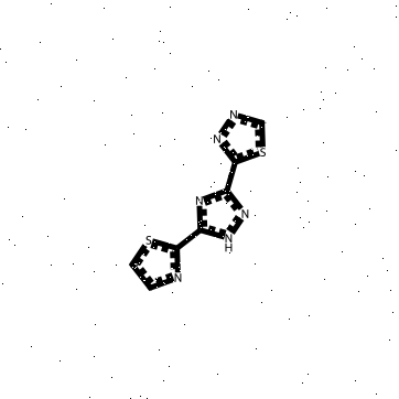 [c]1nnc(-c2n[nH]c(-c3nccs3)n2)s1